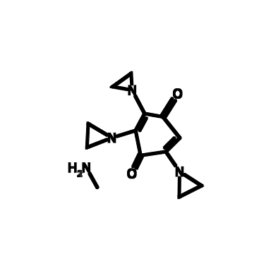 CN.O=C1C=C(N2CC2)C(=O)C(N2CC2)=C1N1CC1